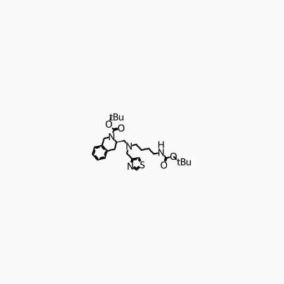 CC(C)(C)OC(=O)NCCCCN(Cc1cscn1)C[C@H]1Cc2ccccc2CN1C(=O)OC(C)(C)C